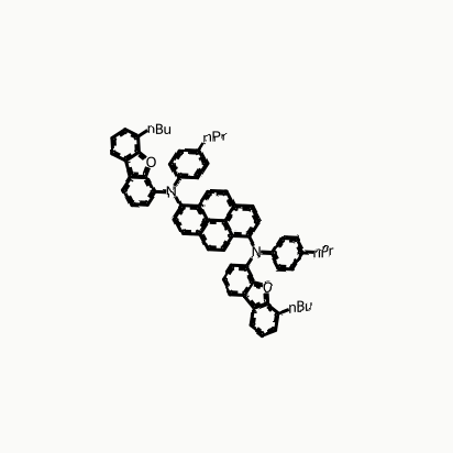 CCCCc1cccc2c1oc1c(N(c3ccc(CCC)cc3)c3ccc4ccc5c(N(c6ccc(CCC)cc6)c6cccc7c6oc6c(CCCC)cccc67)ccc6ccc3c4c65)cccc12